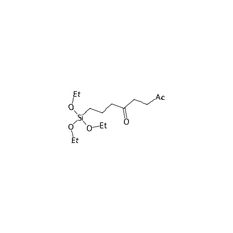 CCO[Si](CCCC(=O)CCC(C)=O)(OCC)OCC